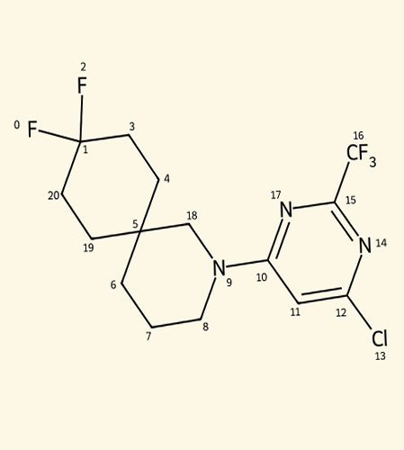 FC1(F)CCC2(CCCN(c3cc(Cl)nc(C(F)(F)F)n3)C2)CC1